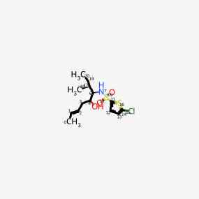 CC=CCC(O)[C@H](NS(=O)(=O)c1ccc(Cl)s1)[C@@H](C)CC